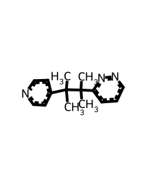 CC(C)(c1ccncc1)C(C)(C)c1cccnn1